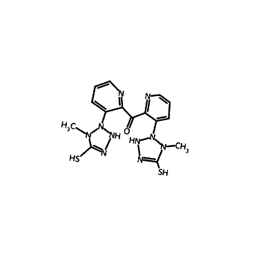 CN1C(S)=NNN1c1cccnc1C(=O)c1ncccc1N1NN=C(S)N1C